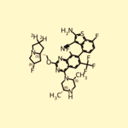 [2H]C1([2H])CN2C[C@H](F)C[C@]2(COc2nc(N3C[C@@H](C)NC[C@@H]3C)c3cc(C(F)(F)F)c(-c4ccc(F)c5sc(N)c(C#N)c45)c(F)c3n2)C1